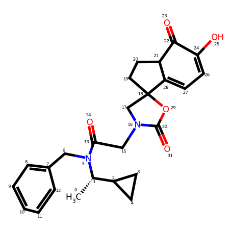 C[C@@H](C1CC1)N(Cc1ccccc1)C(=O)CN1CC2(CCC3C(=O)C(O)=CC=C32)OC1=O